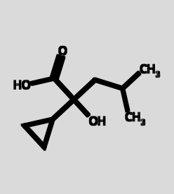 CC(C)CC(O)(C(=O)O)C1CC1